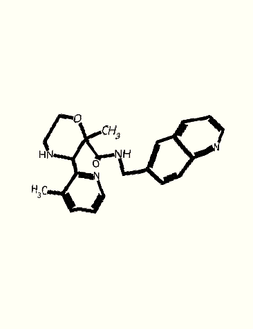 Cc1cccnc1C1NCCOC1(C)C(=O)NCc1ccc2ncccc2c1